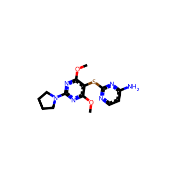 COc1nc(N2CCCC2)nc(OC)c1Sc1nccc(N)n1